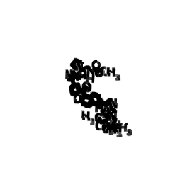 CCCN(Cc1ncc(-c2ccc3c(ccc4oc5ccc(-c6cnc([C@@H]7CCCN7C(=O)CNC(=O)OC)[nH]6)cc5c(=O)c43)c2)[nH]1)C(=O)[C@@H](NC)C(C)C